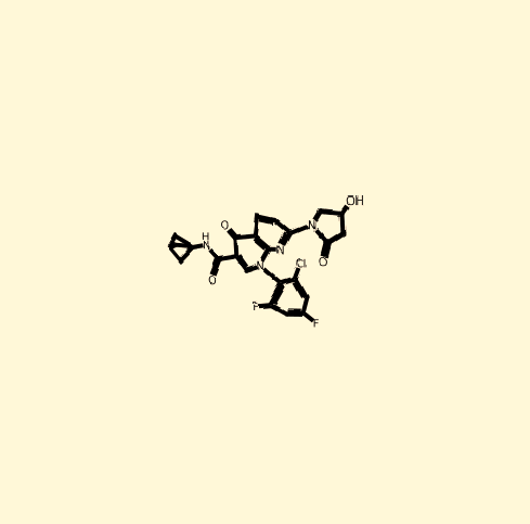 O=C(NC12CC(C1)C2)c1cn(-c2c(F)cc(F)cc2Cl)c2nc(N3CC(O)CC3=O)ccc2c1=O